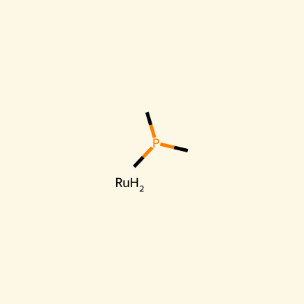 CP(C)C.[RuH2]